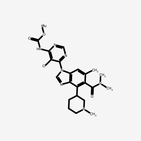 Cc1cc2c(ncn2-c2ncnc(NC(=O)OC(C)(C)C)c2Cl)c(C2CCCN(C)C2)c1C(=O)N(C)C